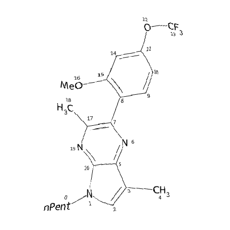 CCCCCn1cc(C)c2nc(-c3ccc(OC(F)(F)F)cc3OC)c(C)nc21